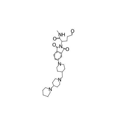 CNC(=O)C(CCC=O)N1C(=O)c2ccc(N3CCC(CN4CCC(N5CCCCC5)CC4)CC3)cc2C1=O